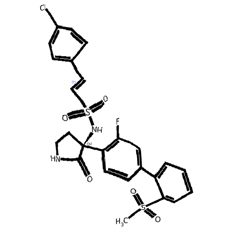 CS(=O)(=O)c1ccccc1-c1ccc([C@@]2(NS(=O)(=O)/C=C/c3ccc(Cl)cc3)CCNC2=O)c(F)c1